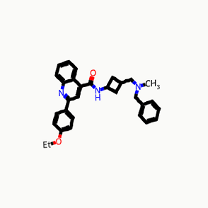 CCOc1ccc(-c2cc(C(=O)NC3CC(CN(C)Cc4ccccc4)C3)c3ccccc3n2)cc1